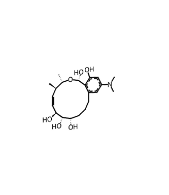 C[C@@H]1/C=C\[C@H](O)[C@@H](O)[C@@H](O)CCCc2cc(N(C)C)cc(O)c2[C@@H](O)O[C@H]1C